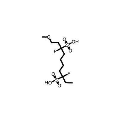 CCC(F)(CCCCC(F)(CCOC)S(=O)(=O)O)S(=O)(=O)O